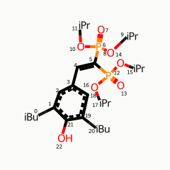 CCC(C)c1cc(C=C(P(=O)(OC(C)C)OC(C)C)P(=O)(OC(C)C)OC(C)C)cc(C(C)CC)c1O